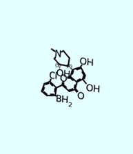 Bc1cccc(Cl)c1-c1cc(=O)c2c(O)cc(O)c([C@H]3CCN(C)C[C@H]3O)c2o1